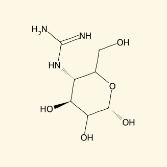 N=C(N)N[C@@H]1C(CO)O[C@H](O)C(O)[C@H]1O